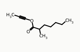 CC#COC(=O)C(C)CCCCC